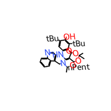 CCCCCC(C)N(Cc1ccnc2ccccc12)C(Nc1cc(C(C)(C)C)c(O)c(C(C)(C)C)c1)=C1C(=O)OC(C)(C)OC1=O